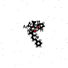 CC(=O)N(C(C)=O)c1c(C2CC2)c([C@@H]2C[C@H]3CC[C@@H](C2)N3C(=O)OC(C)(C)C)nc2c(-c3ccc(-c4ccccc4)nc3)cnn12